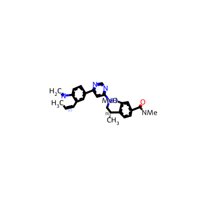 C=Nc1ccc(-c2cc(NC[C@@H](C)c3ccc(C(=O)NC)cc3OC)ncn2)cc1/C=C\C